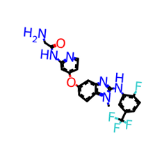 Cn1c(Nc2cc(C(F)(F)F)ccc2F)nc2cc(Oc3ccnc(NC(=O)CN)c3)ccc21